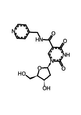 O=C(NCc1ccncc1)c1cn([C@H]2C[C@H](O)[C@@H](CO)O2)c(=O)[nH]c1=O